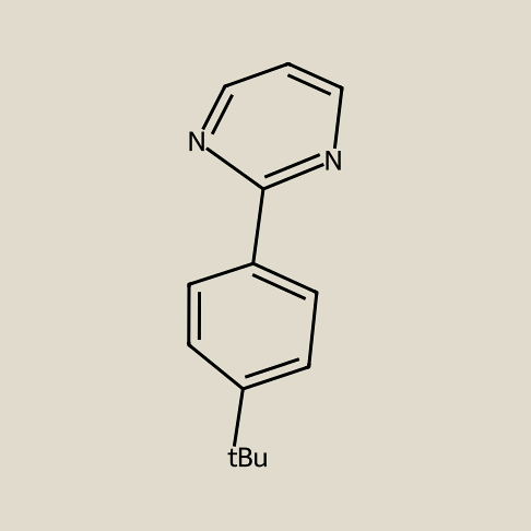 CC(C)(C)c1ccc(-c2ncccn2)cc1